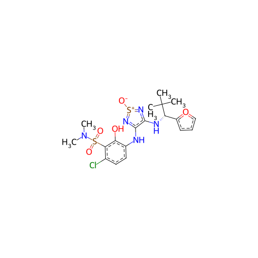 CN(C)S(=O)(=O)c1c(Cl)ccc(Nc2n[s+]([O-])nc2N[C@@H](c2ccco2)C(C)(C)C)c1O